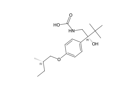 CC[C@H](C)COc1ccc([C@@](O)(CNC(=O)O)C(C)(C)C)cc1